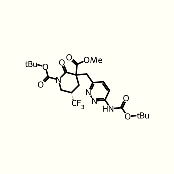 COC(=O)C1(Cc2ccc(NC(=O)OC(C)(C)C)nn2)C[C@H](C(F)(F)F)CN(C(=O)OC(C)(C)C)C1=O